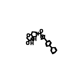 O=C1COC2CCN(C(=O)N3CC(c4ccc(-c5ccccc5)cc4)C3)C[C@H]2N1